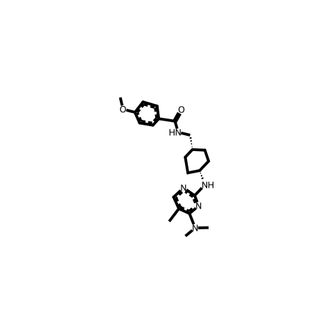 COc1ccc(C(=O)NC[C@H]2CC[C@@H](Nc3ncc(C)c(N(C)C)n3)CC2)cc1